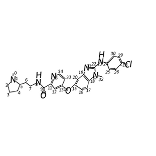 CN1CCCC1CCNC(=O)c1cc(Oc2ccc3c(c2)nc(Nc2ccc(Cl)cc2)n3C)ccn1